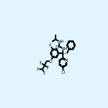 CC(C)NC(=O)N[C@](Cc1ccccc1)(c1cc(F)cc(OCC(F)(F)C(F)F)c1)c1ccc(Cl)cn1